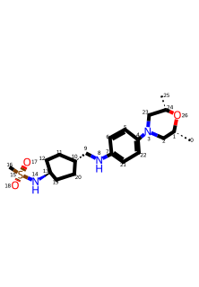 C[C@@H]1CN(c2ccc(NC[C@H]3CC[C@H](NS(C)(=O)=O)CC3)cc2)C[C@H](C)O1